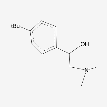 CN(C)CC(O)c1ccc(C(C)(C)C)cc1